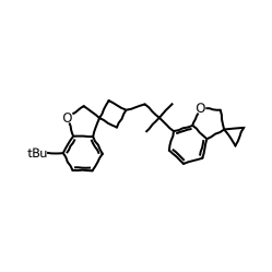 CC(C)(C)c1cccc2c1OCC21CC(CC(C)(C)c2cccc3c2OCC32CC2)C1